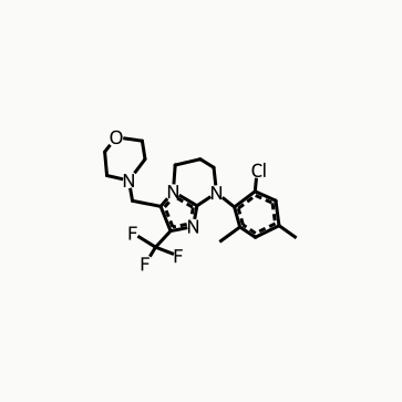 Cc1cc(C)c(N2CCCn3c2nc(C(F)(F)F)c3CN2CCOCC2)c(Cl)c1